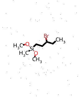 CCC(Br)CC[Si](C)(OC)OC